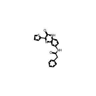 O=C(Cc1ccccc1)Nc1ccc2[nH]c(=O)c(-c3cccs3)nc2c1